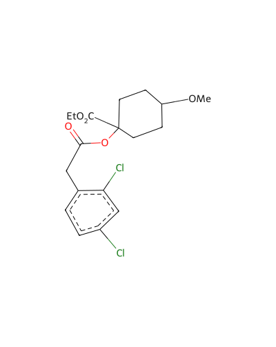 CCOC(=O)C1(OC(=O)Cc2ccc(Cl)cc2Cl)CCC(OC)CC1